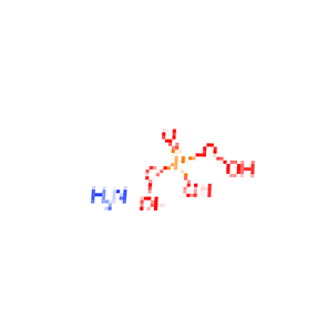 N.O=P(O)(OO)OO